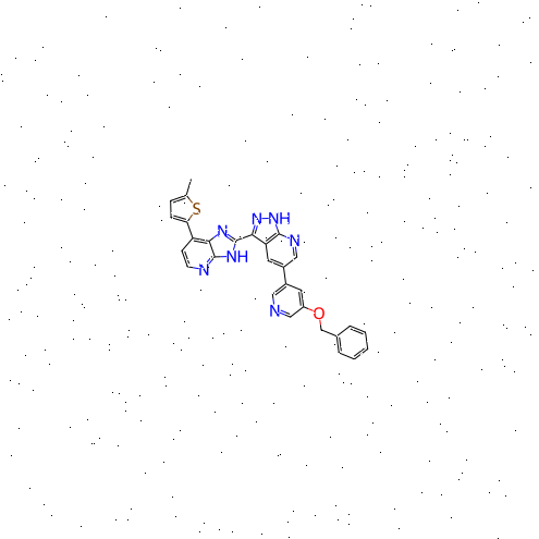 Cc1ccc(-c2ccnc3[nH]c(-c4n[nH]c5ncc(-c6cncc(OCc7ccccc7)c6)cc45)nc23)s1